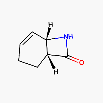 O=C1N[C@H]2C=CCC[C@@H]12